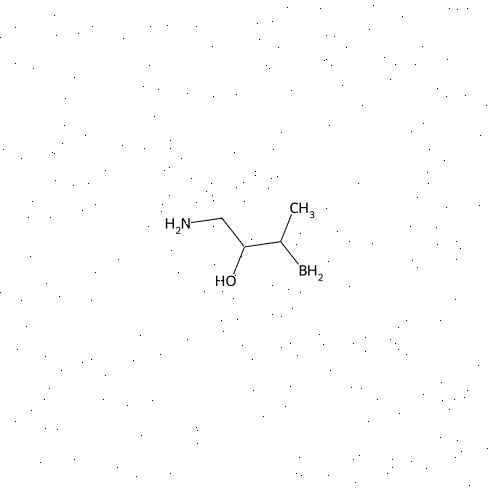 BC(C)C(O)CN